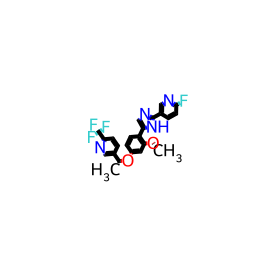 COc1cc(O[C@@H](C)c2ccc(C(F)(F)F)nc2)ccc1-c1cnc(-c2ccc(F)nc2)[nH]1